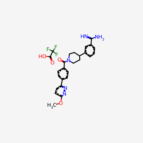 COc1ccc(-c2ccc(C(=O)N3CCC(c4cccc(C(=N)N)c4)CC3)cc2)nn1.O=C(O)C(F)(F)F